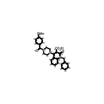 CCOC(=O)c1c(N2CCN(C(=O)c3ccc(OC)cc3)CC2)c2ccccc2n(Cc2ccccc2)c1=O